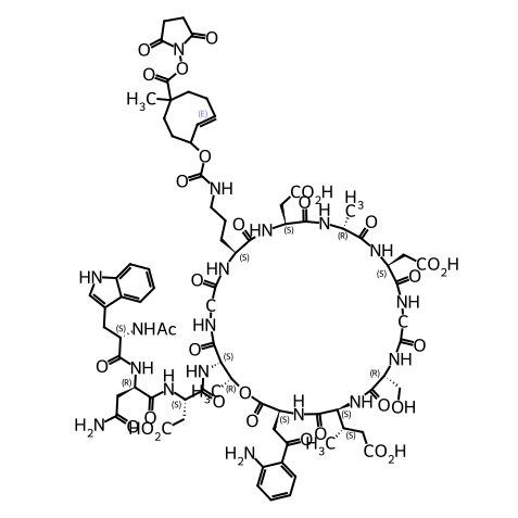 CC(=O)N[C@@H](Cc1c[nH]c2ccccc12)C(=O)N[C@H](CC(N)=O)C(=O)N[C@@H](CC(=O)O)C(=O)N[C@@H]1C(=O)NCC(=O)N[C@@H](CCCNC(=O)OC2/C=C/CCC(C)(C(=O)ON3C(=O)CCC3=O)CC2)C(=O)N[C@@H](CC(=O)O)C(=O)N[C@H](C)C(=O)N[C@@H](CC(=O)O)C(=O)NCC(=O)N[C@H](CO)C(=O)N[C@@H]([C@@H](C)CC(=O)O)C(=O)N[C@@H](CC(=O)c2ccccc2N)C(=O)O[C@@H]1C